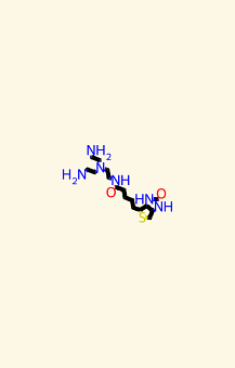 NCCN(CCN)CCNC(=O)CCCCC1SCC2NC(=O)NC21